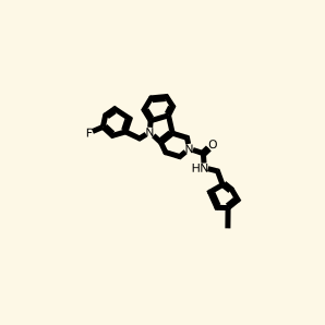 Cc1ccc(CNC(=O)N2CCc3c(c4ccccc4n3Cc3cccc(F)c3)C2)cc1